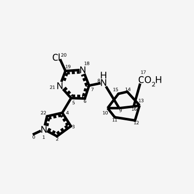 Cn1ccc(-c2cc(NC3C4CCC(CC4)C3C(=O)O)nc(Cl)n2)c1